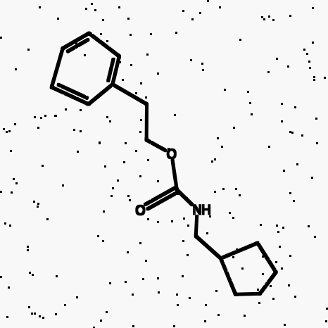 O=C(NCC1CCCC1)OCCc1ccccc1